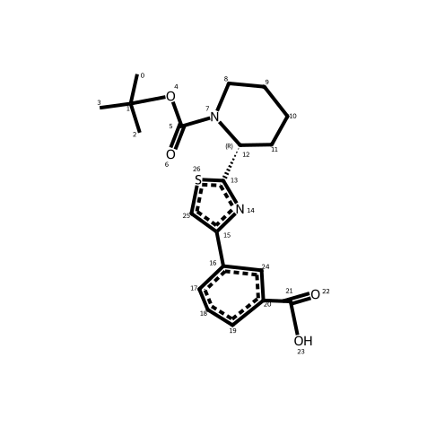 CC(C)(C)OC(=O)N1CCCC[C@@H]1c1nc(-c2cccc(C(=O)O)c2)cs1